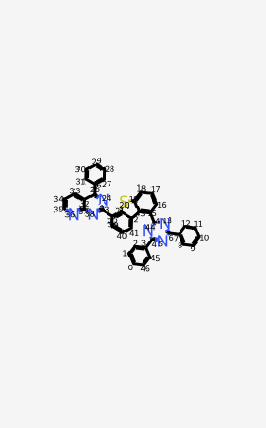 c1ccc(-c2nc(-c3ccccc3)nc(-c3cccc4sc5c(-c6nc(-c7ccccc7)c7cccnc7n6)cccc5c34)n2)cc1